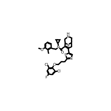 COc1cccc(CN(C(=O)C2=C(c3cnc(CCCOc4c(Cl)cc(F)cc4Cl)s3)CC3CNCC2N3)C2CC2)c1C